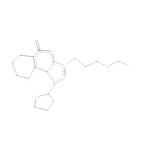 CCNCCCn1nc(C2CCCN2)c2c3c(c(=O)[nH]c21)CCCC3